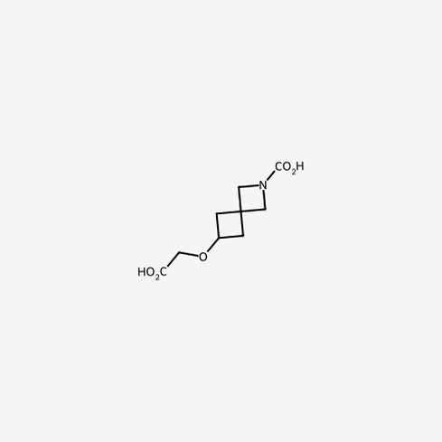 O=C(O)COC1CC2(C1)CN(C(=O)O)C2